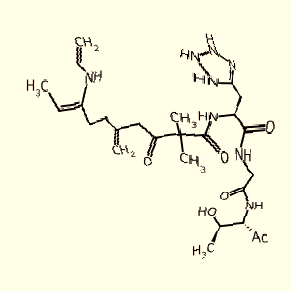 C=CN/C(=C\C)CCC(=C)CC(=O)C(C)(C)C(=O)N[C@@H](CC1=NNNN1)C(=O)NCC(=O)N[C@H](C(C)=O)[C@@H](C)O